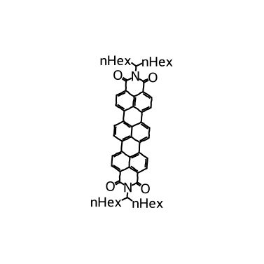 CCCCCCC(CCCCCC)N1C(=O)c2ccc3c4ccc5c6ccc7c8c(ccc(c9ccc(c%10ccc(c2c3%10)C1=O)c4c59)c86)C(=O)N(C(CCCCCC)CCCCCC)C7=O